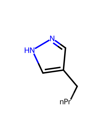 CCCCc1cn[nH]c1